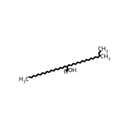 CCCCCCCCCCCCCCCCCCC(CCCCCCCCCCCCCCC(C)CCC)C(=O)O